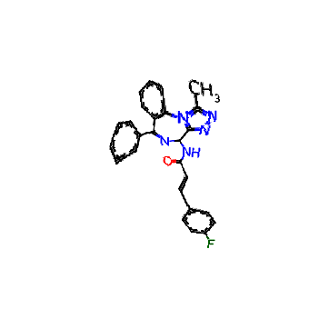 Cc1nnc2n1-c1ccccc1C(c1ccccc1)=NC2NC(=O)C=Cc1ccc(F)cc1